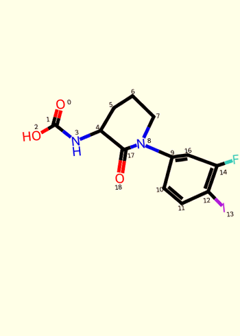 O=C(O)NC1CCCN(c2ccc(I)c(F)c2)C1=O